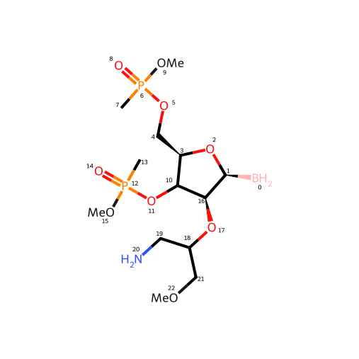 B[C@@H]1O[C@H](COP(C)(=O)OC)C(OP(C)(=O)OC)[C@@H]1OC(CN)COC